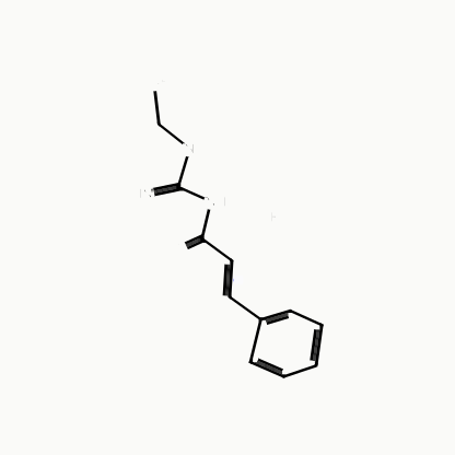 CC(C)CNC(=N)NC(=O)/C=C/c1ccccc1.Cl